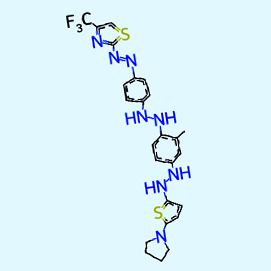 Cc1cc(NNc2ccc(N3CCCC3)s2)ccc1NNc1ccc(/N=N/c2nc(C(F)(F)F)cs2)cc1